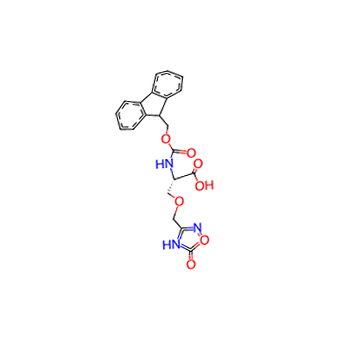 O=C(N[C@@H](COCc1noc(=O)[nH]1)C(=O)O)OCC1c2ccccc2-c2ccccc21